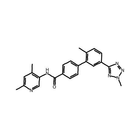 Cc1cc(C)c(NC(=O)c2ccc(-c3cc(-c4nnn(C)n4)ccc3C)cc2)cn1